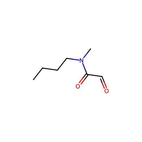 CCCCN(C)C(=O)C=O